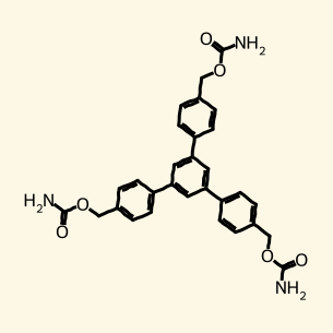 NC(=O)OCc1ccc(-c2cc(-c3ccc(COC(N)=O)cc3)cc(-c3ccc(COC(N)=O)cc3)c2)cc1